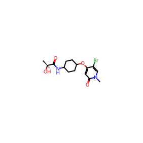 C[C@H](O)C(=O)NC1CCC(Oc2cc(=O)n(C)cc2Br)CC1